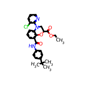 CCOC(=O)C1CN(c2ncccc2Cl)c2cccc(C(=O)Nc3ccc(C(C)(C)C)cc3)c2O1